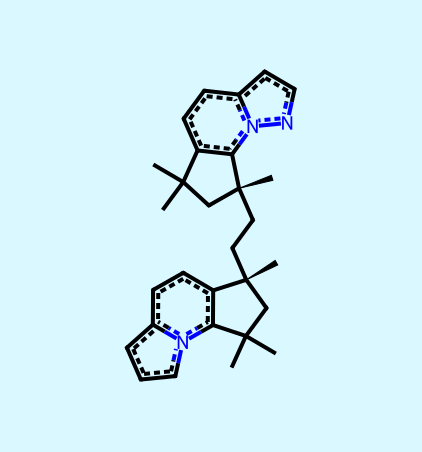 CC1(C)C[C@@](C)(CC[C@]2(C)CC(C)(C)c3c2ccc2cccn32)c2c1ccc1ccnn21